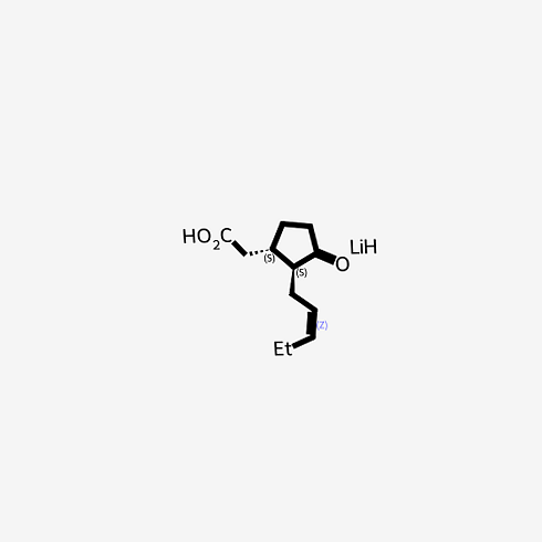 CC/C=C\C[C@@H]1C(=O)CC[C@H]1CC(=O)O.[LiH]